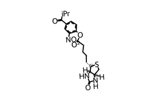 CC(C)C(=O)c1ccc(OC(=O)CCCC[C@@H]2SC[C@@H]3NC(=O)N[C@@H]32)c([N+](=O)[O-])c1